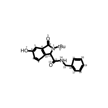 CC(C)(C)N1C(=O)c2cc(O)ccc2C1C(=O)NCc1ccccc1